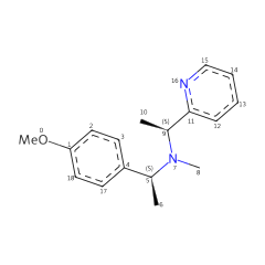 COc1ccc([C@H](C)N(C)[C@@H](C)c2ccccn2)cc1